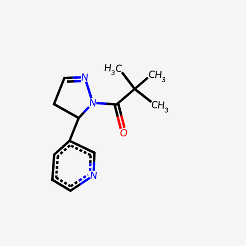 CC(C)(C)C(=O)N1N=CCC1c1cccnc1